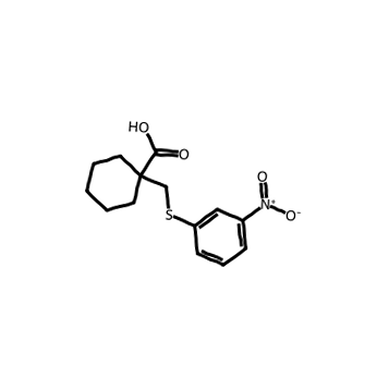 O=C(O)C1(CSc2cccc([N+](=O)[O-])c2)CCCCC1